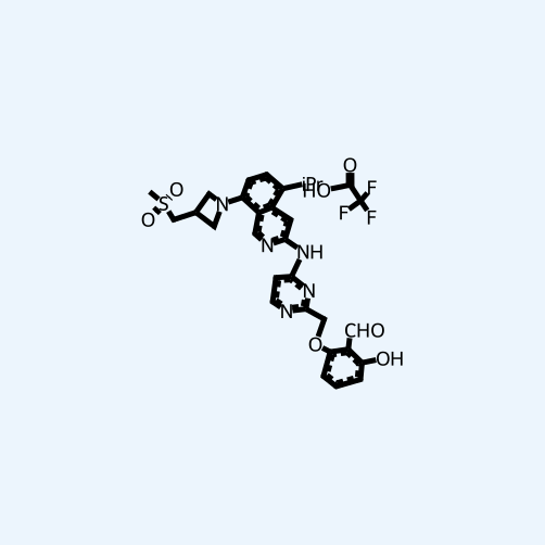 CC(C)c1ccc(N2CC(CS(C)(=O)=O)C2)c2cnc(Nc3ccnc(COc4cccc(O)c4C=O)n3)cc12.O=C(O)C(F)(F)F